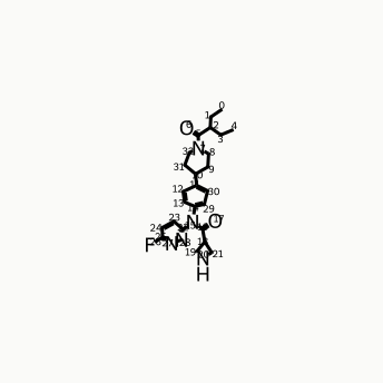 CCC(CC)C(=O)N1CCC(c2ccc(N(C(=O)C3CNC3)c3ccc(F)nn3)cc2)CC1